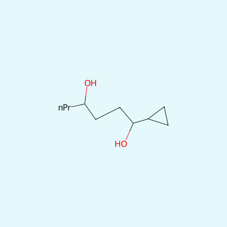 CCCC(O)CCC(O)C1CC1